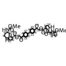 COC(=O)N[C@H]1CCC[C@@H]2CC[C@@H](C(=O)OCC(=O)c3ccc(-c4ccc(C(=O)COC(=O)[C@@H]5CCCN5C(=O)[C@@H](NC(=O)OC)C(C)C)cc4)cc3)N2C1